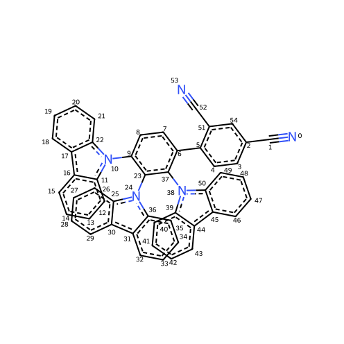 N#Cc1ccc(-c2ccc(-n3c4ccccc4c4ccccc43)c(-n3c4ccccc4c4ccccc43)c2-n2c3ccccc3c3ccccc32)c(C#N)c1